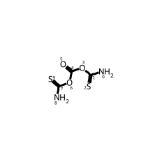 NC(=S)OC(=O)OC(N)=S